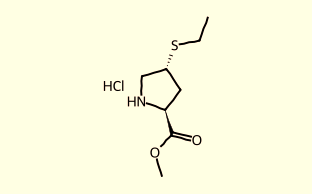 CCS[C@H]1CN[C@H](C(=O)OC)C1.Cl